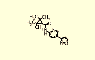 CC1(C)C(C(=O)Nc2ccc(-c3ccon3)cn2)C1(C)C